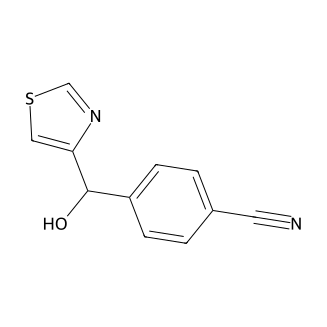 N#Cc1ccc(C(O)c2cscn2)cc1